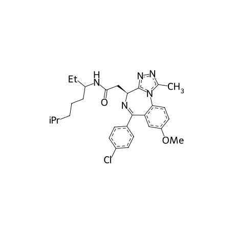 CCC(CCCC(C)C)NC(=O)C[C@@H]1N=C(c2ccc(Cl)cc2)c2cc(OC)ccc2-n2c(C)nnc21